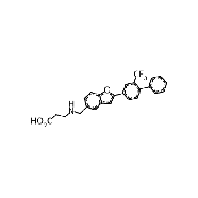 O=C(O)CCNCc1ccc2oc(-c3ccc(-c4ccccc4)c(C(F)(F)F)c3)cc2c1